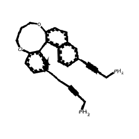 PCC#Cc1ccc2c3c(ccc2c1)OCCCOc1ccc2cc(C#CCP)ccc2c1-3